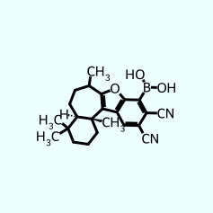 CC1CC[C@@H]2C(C)(C)CCC[C@@]2(C)c2c1oc1c(B(O)O)c(C#N)c(C#N)cc21